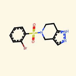 O=S(=O)(c1ccccc1Br)N1CCc2[nH]ncc2C1